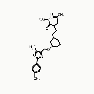 C=C(C)CC(CC[C@H]1CCC[C@@H](OCc2nc(-c3ccc(C)cc3)oc2C)C1)C(=O)OC(C)(C)C